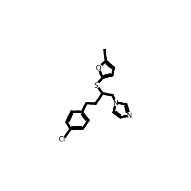 Cc1ccc(SC(CCc2ccc(Cl)cc2)Cn2ccnc2)o1